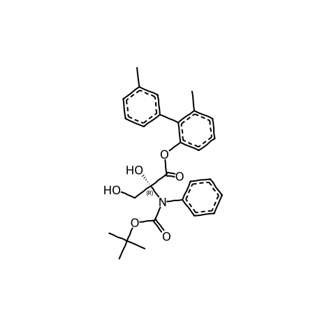 Cc1cccc(-c2c(C)cccc2OC(=O)[C@](O)(CO)N(C(=O)OC(C)(C)C)c2ccccc2)c1